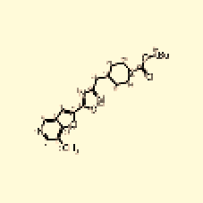 Cc1cncc2cc(-c3nc(CC4CCN(C(=O)OC(C)(C)C)CC4)no3)oc12